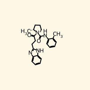 Cc1ccccc1NC(=O)[N+]1(C(=O)CCc2nc3ccccc3[nH]2)CCC[C@H]1C